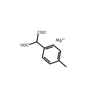 Cc1ccc(C(C(=O)[O-])C(=O)[O-])cc1.[Mg+2]